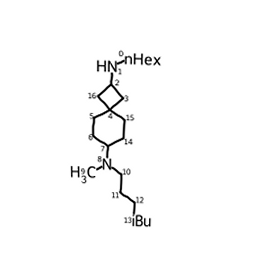 CCCCCCNC1CC2(CCC(N(C)CCCC(C)CC)CC2)C1